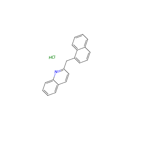 Cl.c1ccc2nc(Cc3cccc4ccccc34)ccc2c1